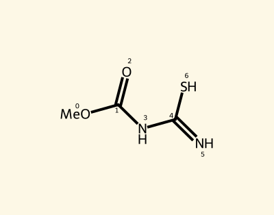 COC(=O)NC(=N)S